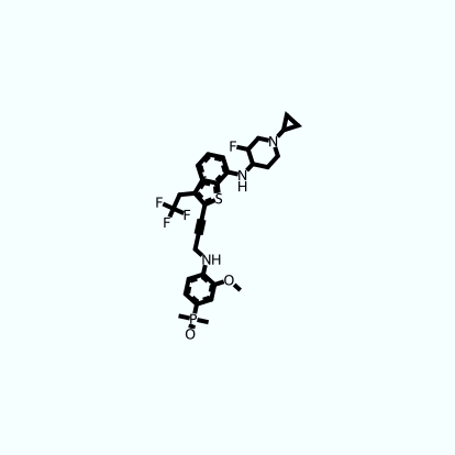 COc1cc(P(C)(C)=O)ccc1NCC#Cc1sc2c(NC3CCN(C4CC4)CC3F)cccc2c1CC(F)(F)F